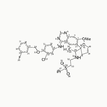 COc1cc2ncnc(Nc3ccc(OCc4cccc(F)c4)c(Cl)c3)c2cc1C1(C(C)NCCS(=O)(=O)C(C)C)CC=CO1